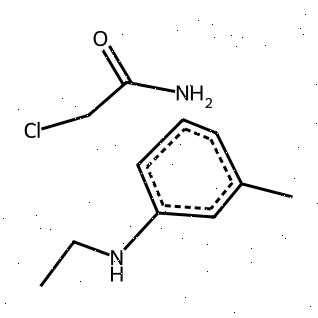 CCNc1cccc(C)c1.NC(=O)CCl